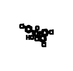 C[C@@]1(C2C=C(Cl)C=CC2)C(O)N(c2ccc(Cl)cc2)C(=O)N1c1ccc(Cl)cc1